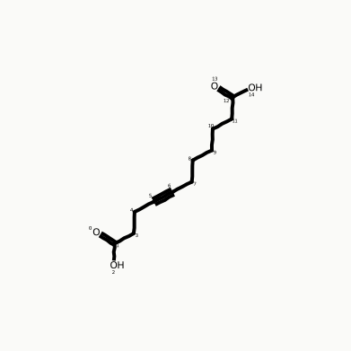 O=C(O)CCC#CCCCCCC(=O)O